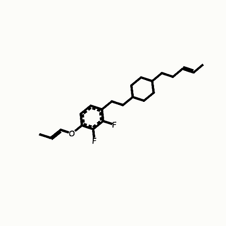 C/C=C/CCC1CCC(CCc2ccc(O/C=C/C)c(F)c2F)CC1